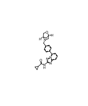 O=C(Nc1nc2cccc(-c3ccc(CN4C[C@@H]5C[C@H]4CO5)cc3)n2n1)C1CC1